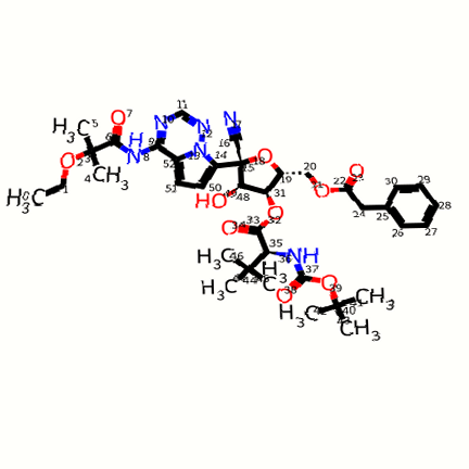 CCOC(C)(C)C(=O)Nc1ncnn2c([C@]3(C#N)O[C@H](COC(=O)Cc4ccccc4)[C@@H](OC(=O)[C@@H](NC(=O)OC(C)(C)C)C(C)(C)C)[C@H]3O)ccc12